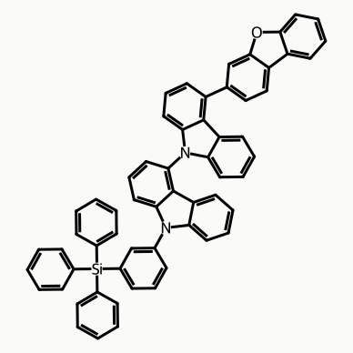 c1ccc([Si](c2ccccc2)(c2ccccc2)c2cccc(-n3c4ccccc4c4c(-n5c6ccccc6c6c(-c7ccc8c(c7)oc7ccccc78)cccc65)cccc43)c2)cc1